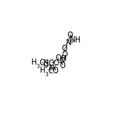 Cc1ccc(CN(C)C(=O)c2cc(C(=O)N3Cc4ccc(OCCN5CCNC(=O)C5)cc4C3)c(O)cc2O)s1